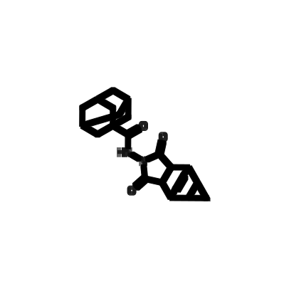 O=C1C2C3C=CC(C4CC34)C2C(=O)N1NC(=O)C12CC3CC(CC(C3)C1)C2